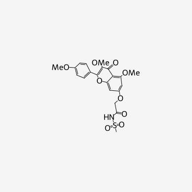 COc1ccc(-c2oc3cc(OCC(=O)NS(C)(=O)=O)cc(OC)c3c(=O)c2OC)cc1